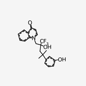 CC(C)(CC(O)(Cn1ccc(=O)c2ccccc21)C(F)(F)F)c1cccc(O)c1